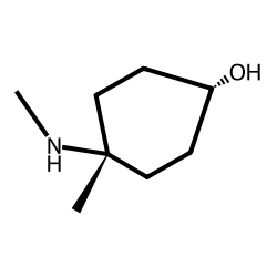 CN[C@]1(C)CC[C@H](O)CC1